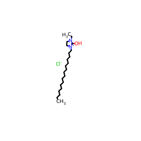 CCCCCCCCCCCCCCCCC[N+]1=C(O)N(CC)CC1.[Cl-]